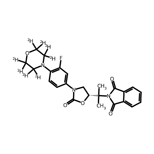 [2H]C1([2H])OC([2H])([2H])C([2H])([2H])N(c2ccc(N3C[C@H](C(C)(C)N4C(=O)c5ccccc5C4=O)OC3=O)cc2F)C1([2H])[2H]